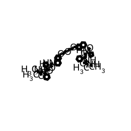 CN[C@@H](C)C(=O)N[C@H](C(=O)N1CCC[C@H]1C(=O)N[C@@H]1CCCc2cc(OCCOCCOc3ccc4c(c3)CCC[C@H]4NC(=O)[C@@H]3CCCN3C(=O)[C@@H](NC(=O)[C@H](C)NC)C3CCCCC3)ccc21)C1CCCCC1